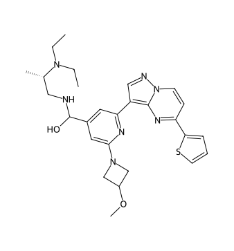 CCN(CC)[C@@H](C)CNC(O)c1cc(-c2cnn3ccc(-c4cccs4)nc23)nc(N2CC(OC)C2)c1